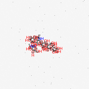 CC(=O)N[C@H]1[C@H](OC[C@H]2O[C@@H](O[C@H]3[C@@H](O)[C@@H](CO)O[C@H](O[C@@H]4[C@H](O)[C@@H](O)[C@H](O[C@H]5[C@H](O)[C@@H](O)[C@H](O)O[C@@H]5CO)O[C@@H]4CO)[C@@H]3O)[C@H](NC(C)=O)[C@@H](O[C@@H]3O[C@H](CO)[C@H](O)[C@H](O)[C@H]3O)[C@H]2O)O[C@H](CO)[C@@H](O)[C@@H]1O